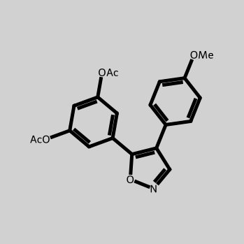 COc1ccc(-c2cnoc2-c2cc(OC(C)=O)cc(OC(C)=O)c2)cc1